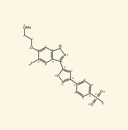 COCCOc1cc2[nH]nc(-c3cc(-c4ccc(S(C)(=O)=O)cc4)no3)c2cc1F